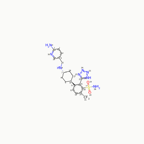 Nc1ccc(CN[C@H]2CC[C@H](c3ccc(C(F)(F)F)c(S(N)(=O)=O)c3-c3nnn[nH]3)CC2)cn1